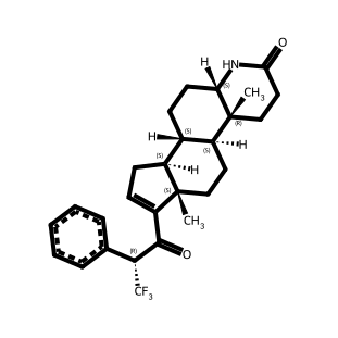 C[C@]12CCC(=O)N[C@H]1CC[C@@H]1[C@@H]2CC[C@]2(C)C(C(=O)[C@@H](c3ccccc3)C(F)(F)F)=CC[C@@H]12